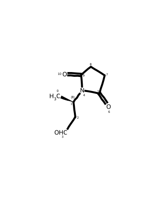 C[C@H](CC=O)N1C(=O)CCC1=O